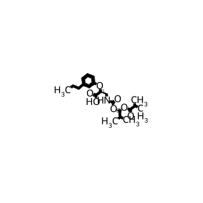 CCCc1cccc(O[C@@H](CNC(=O)O[C@H](OC(=O)C(C)C)C(C)C)C(=O)O)c1